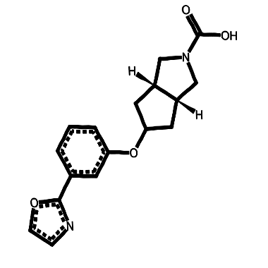 O=C(O)N1C[C@H]2CC(Oc3cccc(-c4ncco4)c3)C[C@H]2C1